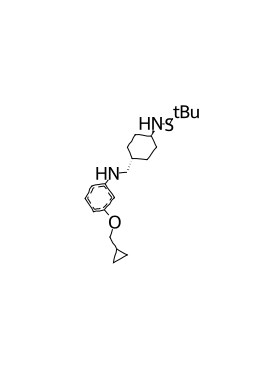 CC(C)(C)SN[C@H]1CC[C@H](CNc2cccc(OCC3CC3)c2)CC1